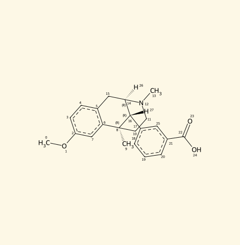 COc1ccc2c(c1)[C@]1(C)CCN(C)[C@H](C2)[C@@H]1c1cccc(C(=O)O)c1